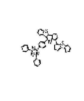 c1ccc(-c2nc(-c3ccccc3)nc(-c3ccc(-c4nc5c(-c6cccc7c6sc6ccccc67)cccc5c5sc6ccccc6c45)cc3)n2)cc1